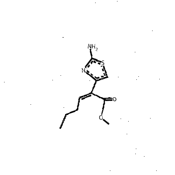 CCC/C=C(\C(=O)OC)c1csc(N)n1